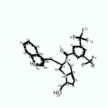 O=C(c1cc(C(F)(F)F)cc(C(F)(F)F)c1)N1CC2=CCC(CO)N2CC1Cc1c[nH]c2ccccc12